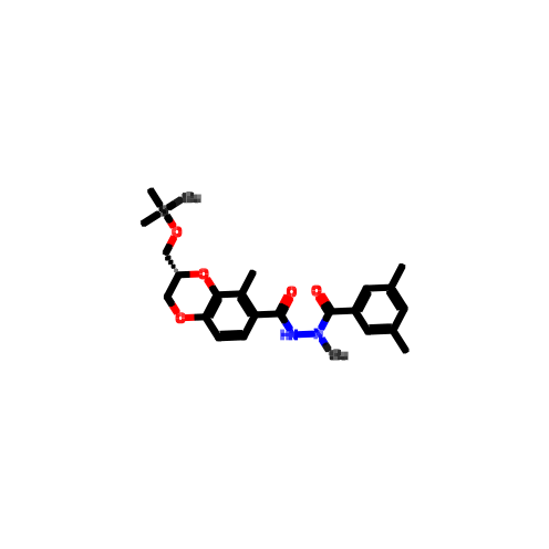 Cc1cc(C)cc(C(=O)N(NC(=O)c2ccc3c(c2C)O[C@@H](CO[Si](C)(C)C(C)(C)C)CO3)C(C)(C)C)c1